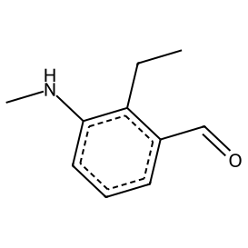 CCc1c(C=O)cccc1NC